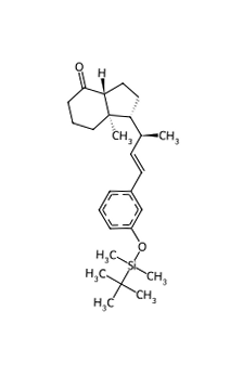 C[C@@H](C=Cc1cccc(O[Si](C)(C)C(C)(C)C)c1)[C@H]1CC[C@H]2C(=O)CCC[C@]12C